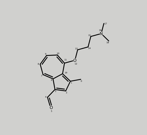 Cc1cc(C=O)c2ccccc(OCCCN(C)C)c1-2